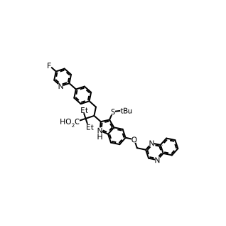 CCC(CC)(C(=O)O)C(Cc1ccc(-c2ccc(F)cn2)cc1)c1[nH]c2ccc(OCc3cnc4ccccc4n3)cc2c1SC(C)(C)C